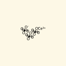 [Ce+3].[O]=[Mn](=[O])(=[O])[O-].[O]=[Mn](=[O])(=[O])[O-].[O]=[Mn](=[O])(=[O])[O-]